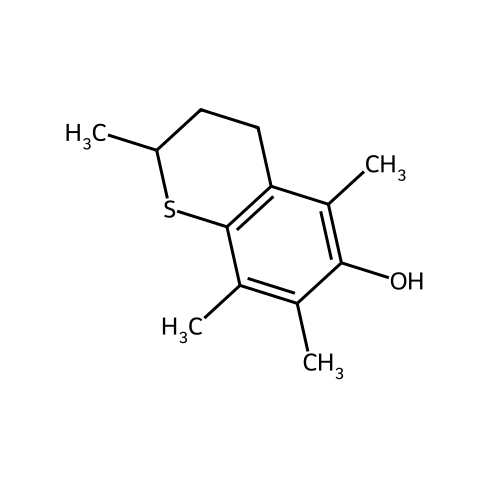 Cc1c(C)c2c(c(C)c1O)CCC(C)S2